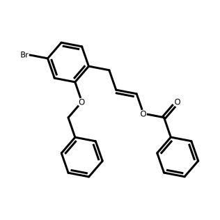 O=C(OC=CCc1ccc(Br)cc1OCc1ccccc1)c1ccccc1